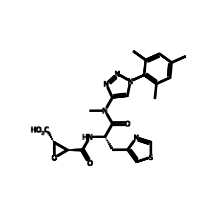 Cc1cc(C)c(-n2cc(N(C)C(=O)[C@H](Cc3cscn3)NC(=O)[C@H]3O[C@@H]3C(=O)O)nn2)c(C)c1